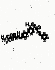 CCN(C(=O)CC=Cc1ccccc1)[C@H]1CC[C@H](c2ccc(CNCC(=O)OC(C)(C)C)cc2)CC1